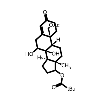 CC(=O)OC[C@]12CCC(=O)C=C1CC(O)[C@]1(O)[C@H]2CC[C@]2(C)C(OC(=O)C(C)(C)C)CC[C@@H]12